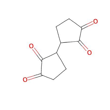 O=C1CCC(C2CCC(=O)C2=O)C1=O